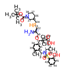 CCN(Cc1cc(C(OC/C(N)=C/PCC2CCCN(C(=O)OC(C)(C)C)C2)C(C)(C)C(=O)O)ccc1C)S(=O)(=O)c1ccccc1O